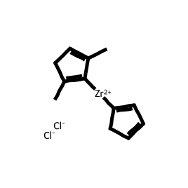 CC1=CCC(C)=[C]1[Zr+2][C]1=CC=CC1.[Cl-].[Cl-]